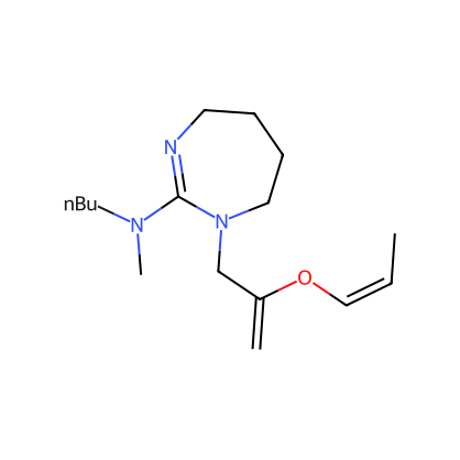 C=C(CN1CCCCN=C1N(C)CCCC)O/C=C\C